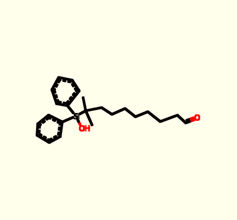 CC(C)(CCCCCCCC=O)[Si](O)(c1ccccc1)c1ccccc1